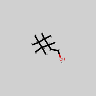 CC1(C)C(C)(C)C(C)(CCO)C1(C)C